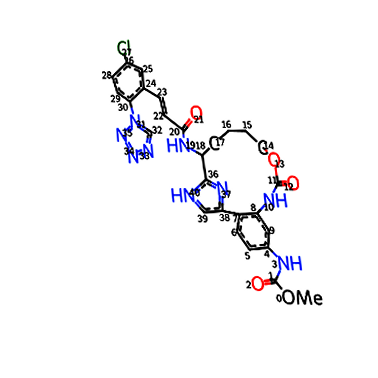 COC(=O)Nc1ccc2c(c1)NC(=O)OCCCCC(NC(=O)C=Cc1cc(Cl)ccc1-n1cnnn1)c1nc-2c[nH]1